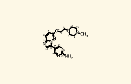 CN1CCN(CCOc2ccc3ncc(-c4cnc(N)nc4)n3n2)CC1